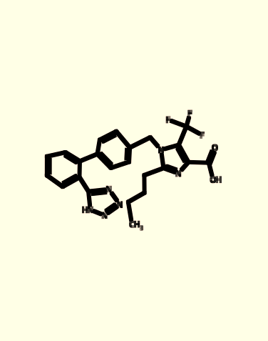 CCCCc1nc(C(=O)O)c(C(F)(F)F)n1Cc1ccc(-c2ccccc2-c2nnn[nH]2)cc1